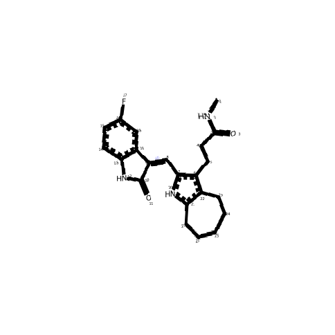 CNC(=O)CCc1c(/C=C2\C(=O)Nc3ccc(F)cc32)[nH]c2c1CCCCC2